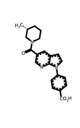 C[C@@H]1CCCN(C(=O)c2cnc3c(ccn3-c3ccc(C(=O)O)cc3)c2)C1